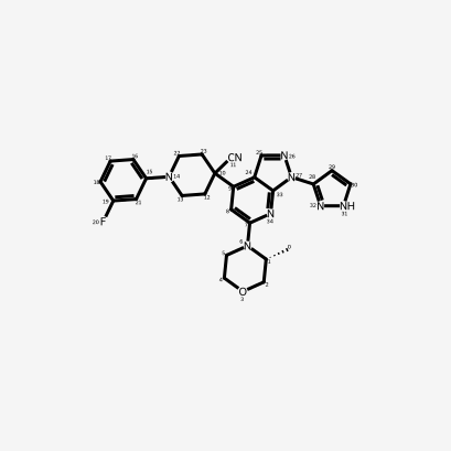 C[C@@H]1COCCN1c1cc(C2(C#N)CCN(c3cccc(F)c3)CC2)c2cnn(-c3cc[nH]n3)c2n1